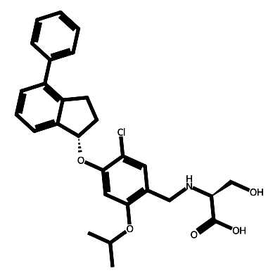 CC(C)Oc1cc(O[C@H]2CCc3c(-c4ccccc4)cccc32)c(Cl)cc1CN[C@@H](CO)C(=O)O